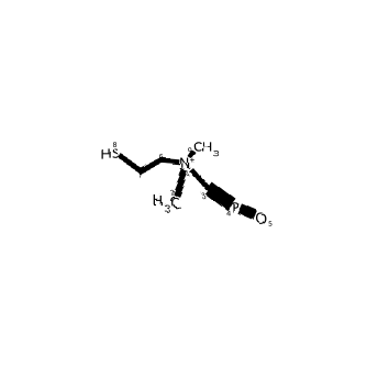 C[N+](C)(C#P=O)CCS